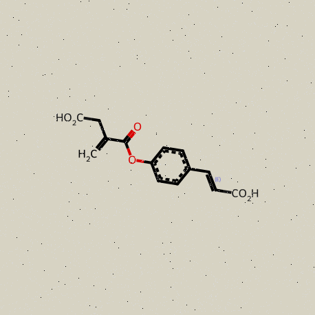 C=C(CC(=O)O)C(=O)Oc1ccc(/C=C/C(=O)O)cc1